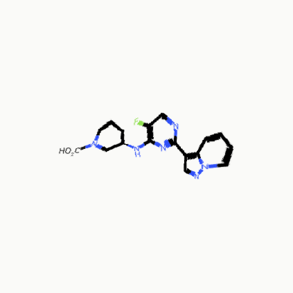 O=C(O)N1CCC[C@@H](Nc2nc(-c3cnn4ccccc34)ncc2F)C1